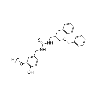 COc1cc(CNC(=S)NCC(COCc2ccccc2)Cc2ccccc2)ccc1O